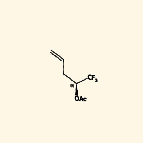 C=CC[C@H](OC(C)=O)C(F)(F)F